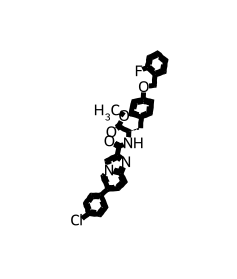 COC(=O)[C@H](Cc1ccc(OCc2ccccc2F)cc1)NC(=O)c1cn2cc(-c3ccc(Cl)cc3)ccc2n1